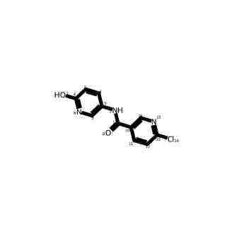 O=C(Nc1ccc(O)nc1)c1ccc(Cl)nc1